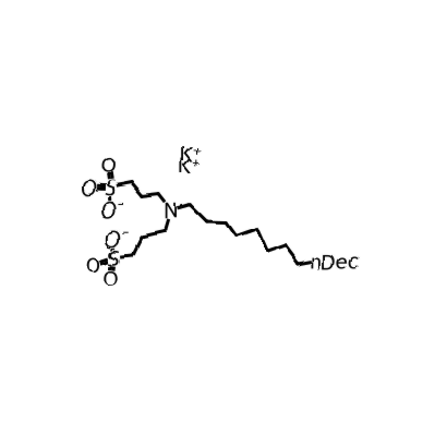 CCCCCCCCCCCCCCCCCCN(CCCS(=O)(=O)[O-])CCCS(=O)(=O)[O-].[K+].[K+]